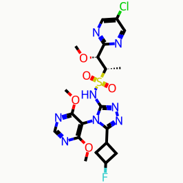 COc1ncnc(OC)c1-n1c(NS(=O)(=O)[C@@H](C)[C@H](OC)c2ncc(Cl)cn2)nnc1C1CC(F)C1